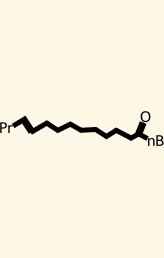 CCCC=CCCCCCCCCC(=O)CCCC